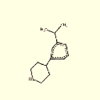 CC(C)c1cccc(C2CCNCC2)c1